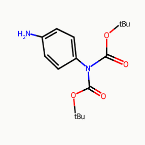 CC(C)(C)OC(=O)N(C(=O)OC(C)(C)C)c1ccc(N)cc1